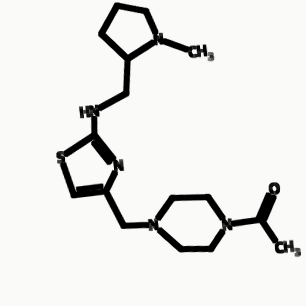 CC(=O)N1CCN(Cc2csc(NCC3CCCN3C)n2)CC1